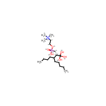 CCCCCC(CCCC)[C@H](CP(=O)(O)OCC[N+](C)(C)C)C(O)(O)O